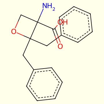 NC1(C(=O)O)COC1(Cc1ccccc1)Cc1ccccc1